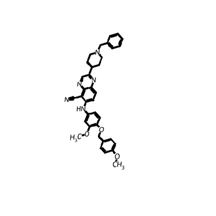 COc1ccc(COc2ccc(Nc3ccc4nc(C5CCN(Cc6ccccc6)CC5)cnc4c3C#N)cc2OC)cc1